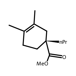 CCC[C@@]1(C(=O)OC)CCC(C)=C(C)C1